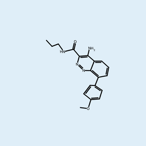 CCCNC(=O)c1nnc2c(-c3ccc(OC)cc3)cccc2c1N